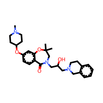 CN1CCC(Oc2ccc3c(c2)OC(C)(C)CN(CC(O)CN2CCc4ccccc4C2)C3=O)CC1